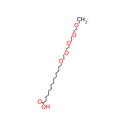 [CH2]COCCOCCOCCOCCOCCCCCCCCCCCCCC(=O)O